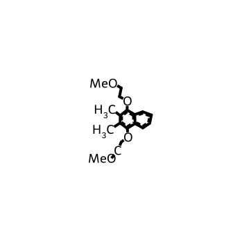 COCCOc1c(C)c(C)c(OCCOC)c2ccccc12